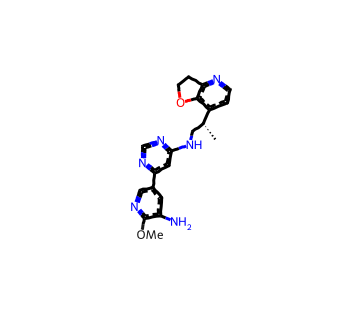 COc1ncc(-c2cc(NC[C@@H](C)c3ccnc4c3OCC4)ncn2)cc1N